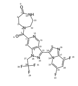 O=C1CCN(C(=O)c2cc3c(cn2)c(-c2cnc4c(F)cc(F)cn24)nn3CC(F)(F)F)CCN1